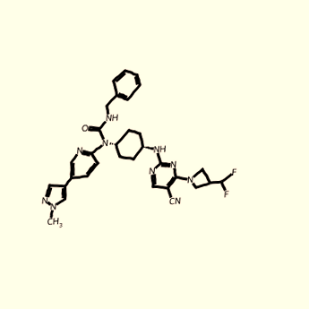 Cn1cc(-c2ccc(N(C(=O)NCc3ccccc3)[C@H]3CC[C@H](Nc4ncc(C#N)c(N5CC(C(F)F)C5)n4)CC3)nc2)cn1